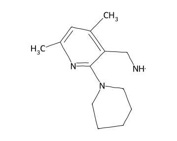 Cc1cc(C)c(C[NH])c(N2CCCCC2)n1